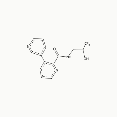 O=C(NCC(O)C(F)(F)F)c1ncccc1-c1cccnc1